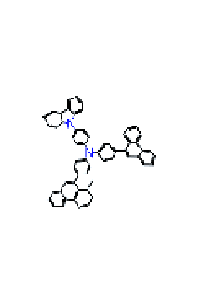 CC1CC=Cc2c1c(-c1ccc(N(c3ccc(-c4cc5ccccc5c5ccccc45)cc3)c3ccc(N4c5ccccc5C5C=CC=CC54)cc3)cc1)cc1ccccc21